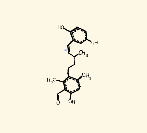 Cc1cc(O)c(C=O)c(C)c1CCC(C)/C=C\c1cc(O)ccc1O